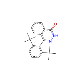 CC(C)(C)c1cccc(C(C)(C)C)c1-c1n[nH]c(=O)c2ccccc12